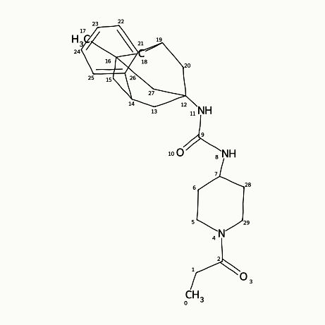 CCC(=O)N1CCC(NC(=O)NC23CC4CC(C)(CC(C2)c2ccccc24)C3)CC1